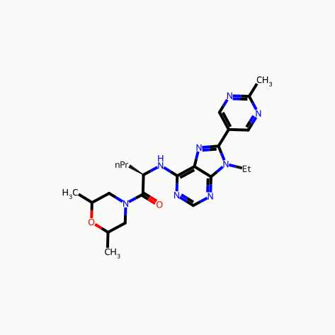 CCC[C@@H](Nc1ncnc2c1nc(-c1cnc(C)nc1)n2CC)C(=O)N1CC(C)OC(C)C1